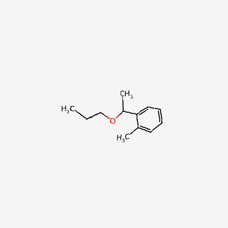 CCCOC(C)c1ccccc1C